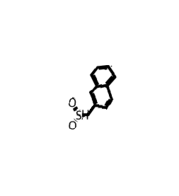 O=[SH](=O)Cc1ccc2c[c]ccc2c1